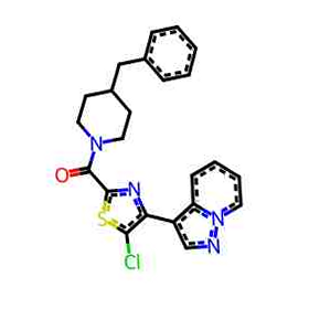 O=C(c1nc(-c2cnn3ccccc23)c(Cl)s1)N1CCC(Cc2ccccc2)CC1